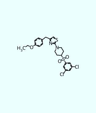 CCOc1ccc(Cc2csc(N3CCC(S(=O)(=O)c4cc(Cl)cc(Cl)c4)CC3)n2)cc1